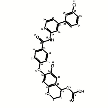 O=C(O)OC1CCOc2cc(Oc3ccc(C(=O)Nc4cc(-c5cccc(Cl)c5)ccn4)cc3)c(Cl)cc21